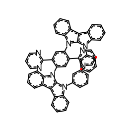 c1ccc(-n2c3ccccc3c3c4ccccc4n(-c4cc(-c5ncccn5)c(-n5c6ccccc6c6c7ccccc7n(-c7ccccc7)c65)cc4-c4ncccn4)c32)cc1